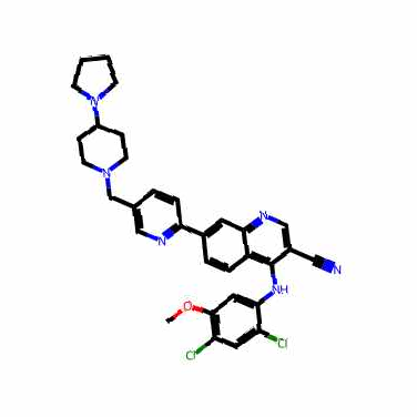 COc1cc(Nc2c(C#N)cnc3cc(-c4ccc(CN5CCC(N6CCCC6)CC5)cn4)ccc23)c(Cl)cc1Cl